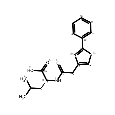 CC(C)C[C@@H](NC(=O)Cc1csc(-c2ccccc2)n1)C(=O)O